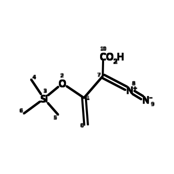 C=C(O[Si](C)(C)C)C(=[N+]=[N-])C(=O)O